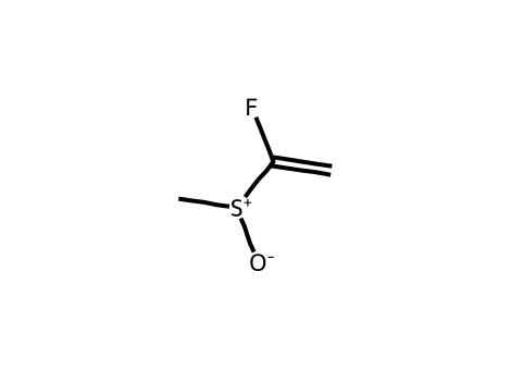 C=C(F)[S+](C)[O-]